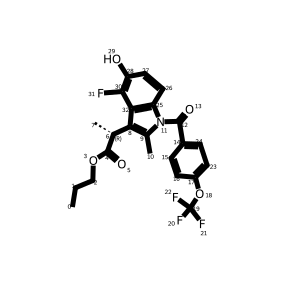 CCCOC(=O)[C@H](C)c1c(C)n(C(=O)c2ccc(OC(F)(F)F)cc2)c2ccc(O)c(F)c12